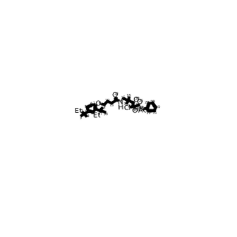 CCC(C)(C)c1ccc(OCCCC(=O)NCC(C)(C)C(=O)C(Cl)(OC(C)=O)C(=O)Nc2ccccc2)c(C(C)(C)CC)c1